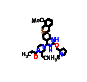 C=CC(=O)N1CCN(C2NC(OCC3CCCN3C)NC3C[C@@]4(CCC32)Cc2cccc(OC)c2CS4)CC1CC#N